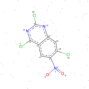 O=[N+]([O-])c1cc2c(Cl)nc(Cl)nc2cc1Cl